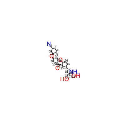 N#Cc1cccc(Oc2ccc3c(=O)c4cc(CCC(N)(CO)CO)ccc4oc3c2)c1